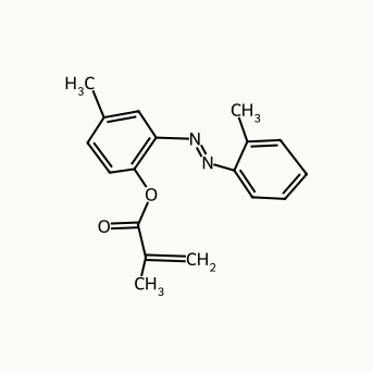 C=C(C)C(=O)Oc1ccc(C)cc1N=Nc1ccccc1C